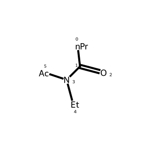 CCCC(=O)N(CC)C(C)=O